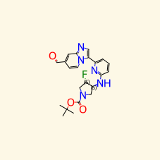 CC(C)(C)OC(=O)N1C[C@H](Nc2cccc(-c3cnc4cc(C=O)ccn34)n2)[C@@H](F)C1